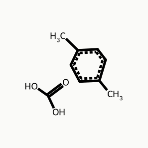 Cc1ccc(C)cc1.O=C(O)O